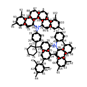 Cc1cc(C)c(-c2cccc(-c3ccccc3N(c3ccc(C4(c5ccc(N(c6ccccc6-c6cccc(-c7c(C)cc(C)cc7C)c6)c6ccccc6-c6cccc(-c7c(C)cc(C)cc7C)c6)cc5)CCCCC4)cc3)c3ccccc3-c3cccc(-c4c(C)cc(C)cc4C)c3)c2)c(C)c1